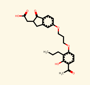 CCCc1c(OCCCOc2ccc3c(c2)CC(CC(=O)O)C3=O)ccc(C(C)=O)c1O